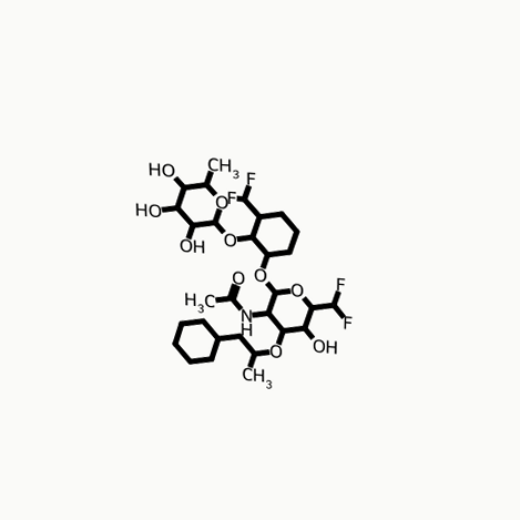 CC(=O)NC1C(OC2CCCC(C(F)F)C2OC2OC(C)C(O)C(O)C2O)OC(C(F)F)C(O)C1OC(C)CC1CCCCC1